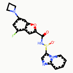 O=C(N[S+]([O-])c1cnc2ccccn12)c1cc2c(F)cc(N3CCC3)cc2o1